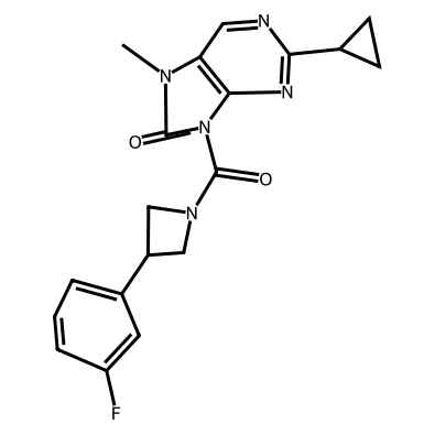 Cn1c(=O)n(C(=O)N2CC(c3cccc(F)c3)C2)c2nc(C3CC3)ncc21